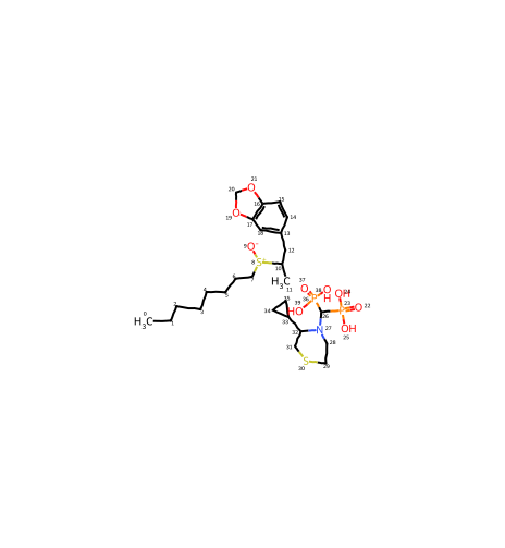 CCCCCCCC[S+]([O-])C(C)Cc1ccc2c(c1)OCO2.O=P(O)(O)C(N1CCSCC1C1CC1)P(=O)(O)O